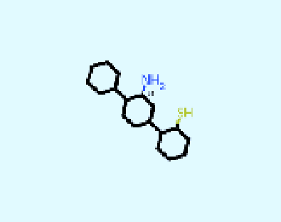 N[C@H]1CC(C2CCCCC2S)CCC1C1CCCCC1